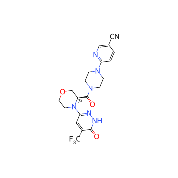 N#Cc1ccc(N2CCN(C(=O)[C@@H]3COCCN3c3cc(C(F)(F)F)c(=O)[nH]n3)CC2)nc1